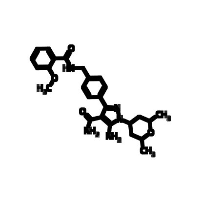 COc1ccccc1C(=O)NCc1ccc(-c2nn(C3CC(C)OC(C)C3)c(N)c2C(N)=O)cc1